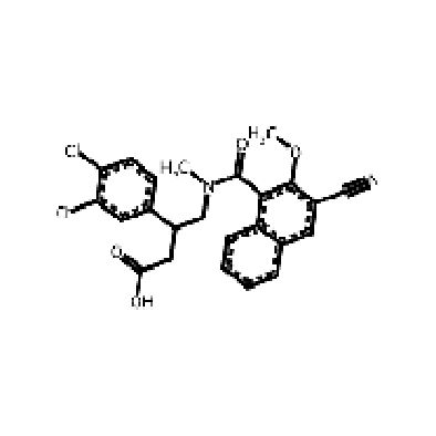 COc1c(C#N)cc2ccccc2c1C(=O)N(C)CC(CC(=O)O)c1ccc(Cl)c(Cl)c1